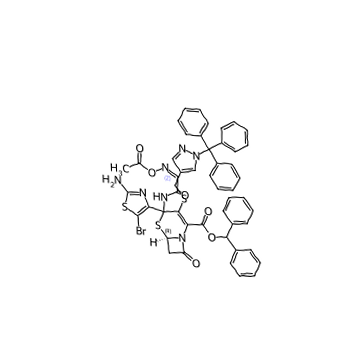 CC(=O)O/N=C\C(=O)NC1(c2nc(N)sc2Br)S[C@@H]2CC(=O)N2C(C(=O)OC(c2ccccc2)c2ccccc2)=C1SCc1cnn(C(c2ccccc2)(c2ccccc2)c2ccccc2)c1